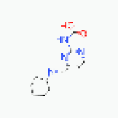 O=C(O)Nc1nccc(C=NC2CCCCC2)n1